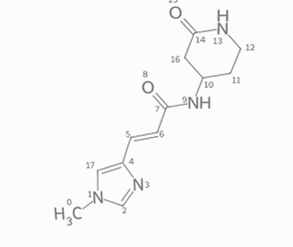 Cn1cnc(C=CC(=O)NC2CCNC(=O)C2)c1